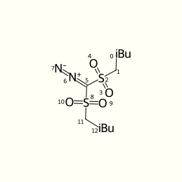 CCC(C)CS(=O)(=O)C(=[N+]=[N-])S(=O)(=O)CC(C)CC